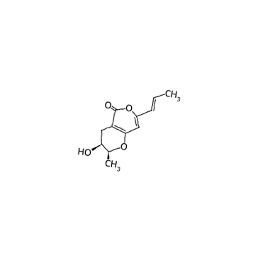 C/C=C/c1cc2c(c(=O)o1)C[C@H](O)[C@H](C)O2